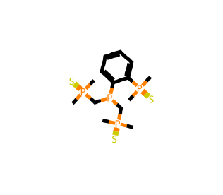 CP(C)(=S)CP(CP(C)(C)=S)c1ccccc1P(C)(C)=S